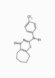 CCN(c1ccc(C(F)(F)F)cc1)c1nc(=O)c2c(s1)CCCCC2